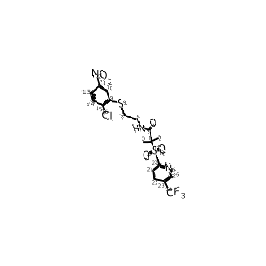 CC(C)(C(=O)NCCSc1cc([N+](=O)[O-])ccc1Cl)S(=O)(=O)c1ccc(C(F)(F)F)cn1